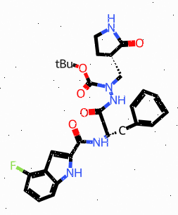 CC(C)(C)OC(=O)N(C[C@@H]1CCNC1=O)NC(=O)[C@H](Cc1ccccc1)NC(=O)c1cc2c(F)cccc2[nH]1